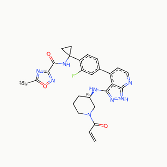 C=CC(=O)N1CCC[C@@H](Nc2n[nH]c3nccc(-c4ccc(C5(NC(=O)c6noc(C(C)(C)C)n6)CC5)c(F)c4)c23)C1